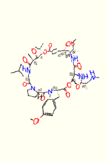 CC[C@H](C)[C@H]1NC(=O)[C@@H](NC(=O)[C@@H](C)NC)[C@@H](C)OC(=O)[C@H](Cc2ccc(OC)cc2)N(C)C(=O)[C@@H]2CCCN2C(=O)[C@H](CC(C)C)NC(=O)[C@@H](C)C(=O)[C@H](C(C)C)OC(=O)C[C@@H]1O